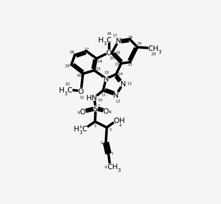 CC#CC(O)C(C)S(=O)(=O)Nc1nnc(-c2cncc(C)c2)n1-c1c(OC)cccc1OC